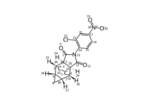 O=C1[C@@H]2[C@@H]3CC[C@@H]([C@@H]4C[C@@H]43)[C@@H]2C(=O)N1c1ccc([N+](=O)[O-])cc1Cl